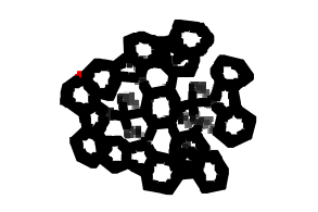 CC(C)(c1c(-c2ccccc2C(F)(F)F)c(-n2c3ccccc3c3ccc4c5ccccc5sc4c32)c(C(C)(C)n2c3ccccc3c3ccccc32)c(-n2c3ccccc3c3ccc4c5ccccc5sc4c32)c1-c1ccccc1C(F)(F)F)n1c2ccccc2c2ccccc21